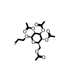 CC(=O)OC[C@H]1O[C@@H](OCCI)[C@H](OC(C)=O)[C@@H](OC(C)=O)[C@@H]1OC(C)=O